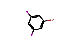 Brc1cc(I)cc(I)c1